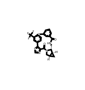 O=C(NC[C@@H]1[C@H]2C[C@H]2CN1C(=O)c1ncsc1-c1cccc(C(F)(F)F)c1)c1cccc(Cl)c1